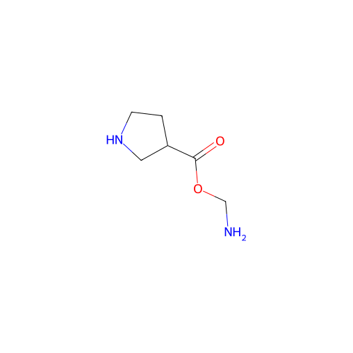 NCOC(=O)C1CCNC1